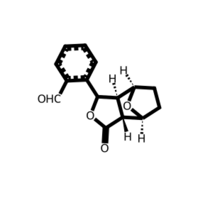 O=Cc1ccccc1C1OC(=O)[C@@H]2[C@@H]1[C@H]1CC[C@@H]2O1